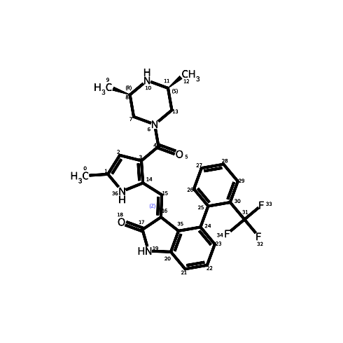 Cc1cc(C(=O)N2C[C@@H](C)N[C@@H](C)C2)c(/C=C2\C(=O)Nc3cccc(-c4ccccc4C(F)(F)F)c32)[nH]1